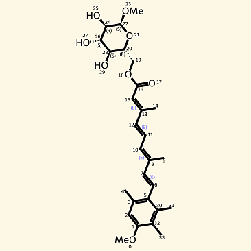 COc1cc(C)c(/C=C/C(C)=C/C=C/C(C)=C/C(=O)OC[C@H]2O[C@H](OC)[C@H](O)[C@@H](O)[C@@H]2O)c(C)c1C